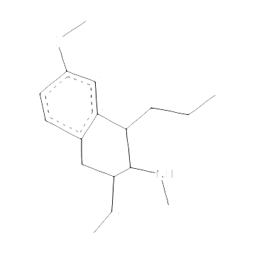 CCCC1c2cc(OC)ccc2CC(CC)C1NC